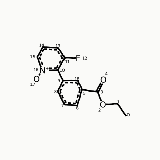 CCOC(=O)c1cccc(-c2c(F)ccc[n+]2[O-])c1